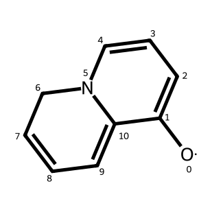 [O]C1=CC=CN2CC=CC=C12